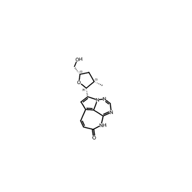 C[C@H]1C[C@@H](CO)O[C@H]1c1cc2c3c(ncnn13)NC(=O)C=C2